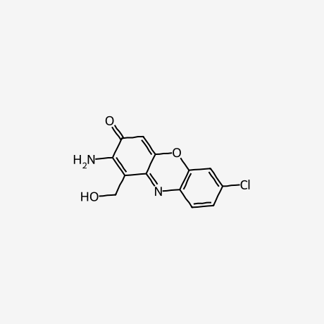 Nc1c(CO)c2nc3ccc(Cl)cc3oc-2cc1=O